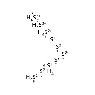 [S-2].[S-2].[S-2].[S-2].[S-2].[SH4+2].[SH4+2].[SH4+2].[SH4+2].[SH4+2]